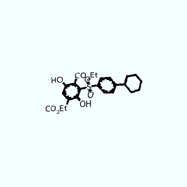 CCOC(=O)c1cc(O)c(C(=O)OCC)c(S(=O)(=O)c2ccc(C3CCCCC3)cc2)c1O